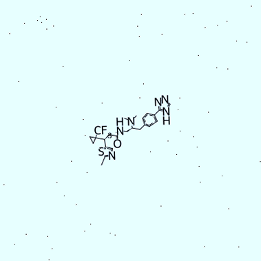 Cc1ncc([C@H](CC(=O)NC[C@H](Cc2ccc(-c3nnc[nH]3)cc2)N(C)C)C2(C(F)(F)F)CC2)s1